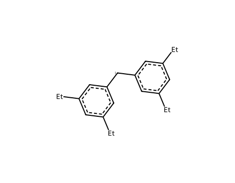 CCc1cc([C]c2cc(CC)cc(CC)c2)cc(CC)c1